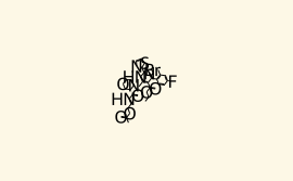 CCOC(=O)C1=C(CN2CCOC[C@H]2C(=O)NCCOC(C)=O)NC(c2nccs2)=NC1c1ccc(F)cc1Br